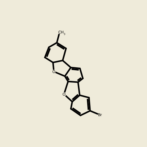 CC1=CC2c3ccc4c(oc5ccc(Br)cc54)c3OC2C=C1